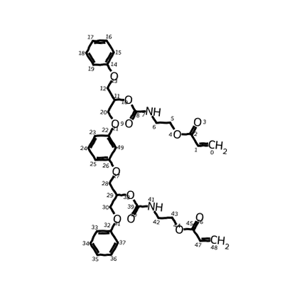 C=CC(=O)OCCNC(=O)OC(COc1ccccc1)COc1cccc(OCC(COc2ccccc2)OC(=O)NCCOC(=O)C=C)c1